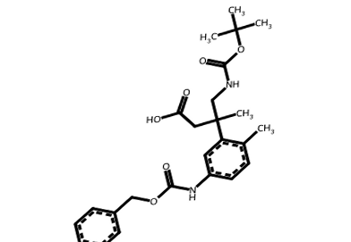 Cc1ccc(NC(=O)OCc2ccccc2)cc1C(C)(CNC(=O)OC(C)(C)C)CC(=O)O